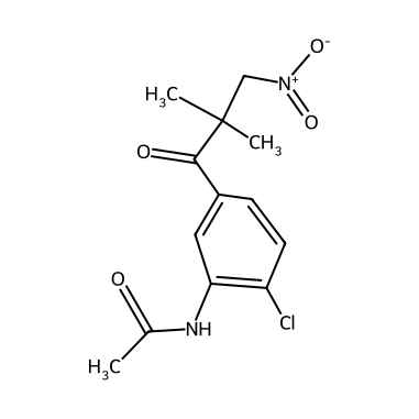 CC(=O)Nc1cc(C(=O)C(C)(C)C[N+](=O)[O-])ccc1Cl